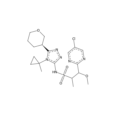 COC(c1ncc(Cl)cn1)C(C)S(=O)(=O)Nc1nnc([C@H]2CCCOC2)n1C1(C)CC1